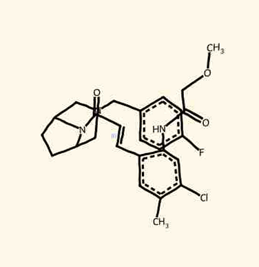 COCC(=O)Nc1cc(Cl)c(C)cc1/C=C/C(=O)N1C2CCC1CN(Cc1ccc(F)cc1)C2